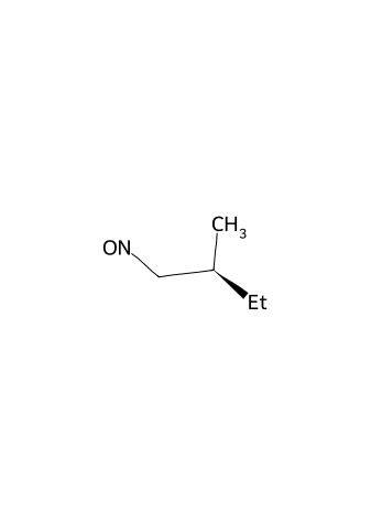 CC[C@H](C)CN=O